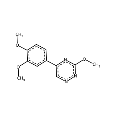 COc1nncc(-c2ccc(OC)c(OC)c2)n1